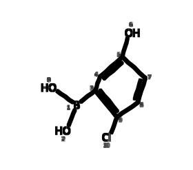 OB(O)c1cc(O)ccc1Cl